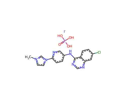 C[n+]1ccn(-c2ccc(Nc3ncnc4cc(Cl)ccc34)cn2)c1.O=P(O)(O)O.[I-]